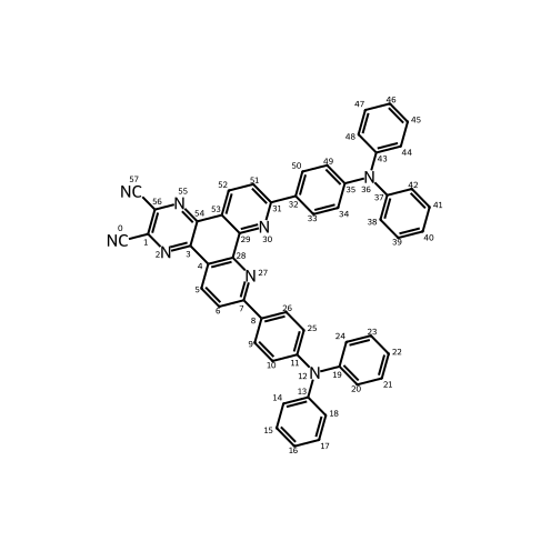 N#Cc1nc2c3ccc(-c4ccc(N(c5ccccc5)c5ccccc5)cc4)nc3c3nc(-c4ccc(N(c5ccccc5)c5ccccc5)cc4)ccc3c2nc1C#N